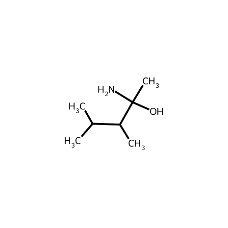 CC(C)C(C)C(C)(N)O